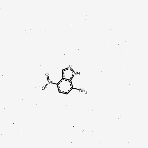 Nc1ccc([N+](=O)[O-])c2cn[nH]c12